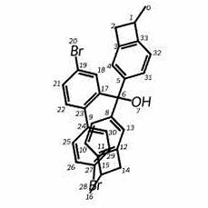 CC1Cc2cc(C(O)(c3ccc4c(c3)CC4C)c3cc(Br)ccc3-c3ccc(Br)cc3)ccc21